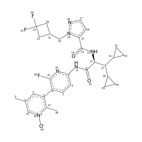 Cc1cc(-c2ccc(NC(=O)[C@@H](NC(=O)c3ccnn3CC3CC(F)(F)C3)C(C3CC3)C3CC3)nc2F)c(C)[n+]([O-])c1